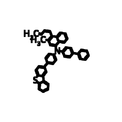 C=C/C=C\c1c(C)cc(N(c2ccc(-c3ccccc3)cc2)c2ccc(-c3ccc4sc5ccccc5c4c3)cc2)c2ccccc12